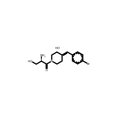 Cl.N[C@H](CO)C(=O)N1CCC(=Cc2ccc(Br)cc2)CC1